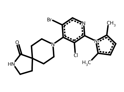 Cc1ccc(C)n1-c1ncc(Br)c(N2CCC3(CCNC3=O)CC2)c1Cl